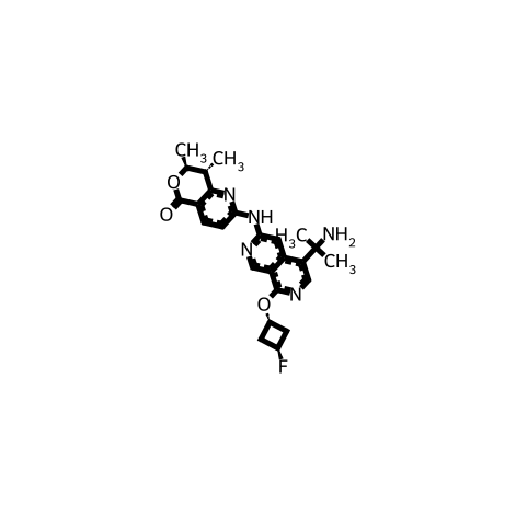 C[C@@H]1OC(=O)c2ccc(Nc3cc4c(C(C)(C)N)cnc(O[C@H]5C[C@H](F)C5)c4cn3)nc2[C@H]1C